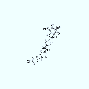 CCCn1c(=O)c2[nH]c(-c3ccc(S(=O)(=O)N4CCN(Cc5ccc(Cl)cc5)CC4)cc3)cc2n(CCC)c1=O